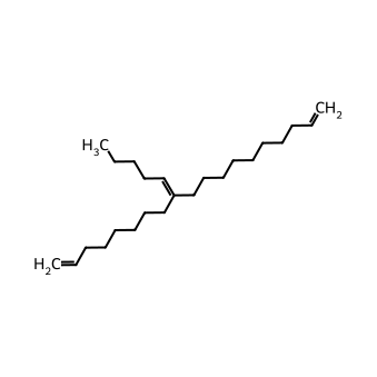 C=CCCCCCCCCC(=CCCCC)CCCCCCC=C